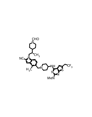 CNc1nc(NC2CCN(Cc3ccc4c(cc(C#N)n4C[C@H](C)C4CCN(C=O)CC4)c3C)CC2)c2cc(CC(F)(F)F)sc2n1